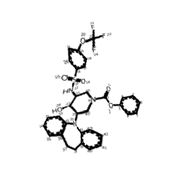 O=C(Oc1ccccc1)N1CC(NS(=O)(=O)c2ccc(OC(F)(F)F)cc2)[C@H](O)C(N2c3ccccc3CCc3ccccc32)C1